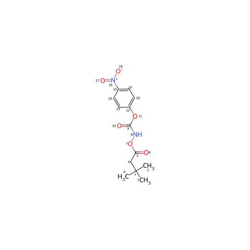 CC(C)(C)CC(=O)ONC(=O)Oc1ccc([N+](=O)[O-])cc1